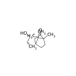 C=CCO.CC12CCC(CC1=O)C2(C)C